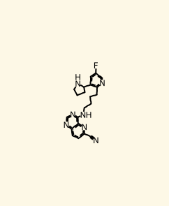 N#Cc1ccc2ncnc(NCCCCc3ncc(F)cc3C3CCCN3)c2n1